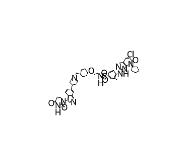 Cc1cc(S(=O)(=O)NCCO[C@H]2CC[C@H](CN3CCC(c4ccc5c(N6CCC(=O)NC6=O)cncc5c4)CC3)CC2)ccc1Nc1ncc2cc(Cl)c(=O)n(C3CCCC3)c2n1